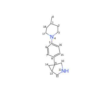 CC1CCN(c2ccc(C34CNCC3C4)cc2)CC1